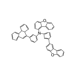 C1=CC2C(c3cccc(N(c4cccc(-c5ccc6oc7ccccc7c6c5)c4)c4cccc5oc6ccccc6c45)c3)=Cc3ccccc3C2C=C1